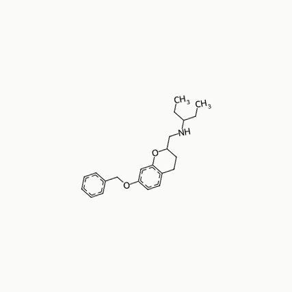 CCC(CC)NCC1CCc2ccc(OCc3ccccc3)cc2O1